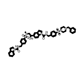 CN(CC(O)c1ccc2c(ccn2C(=O)NCc2ccc(S(=O)(=O)N3CCN(Cc4ccccc4)CC3)cc2)c1)S(=O)(=O)c1ccc(CNC(=O)n2ccc3ccccc32)cc1